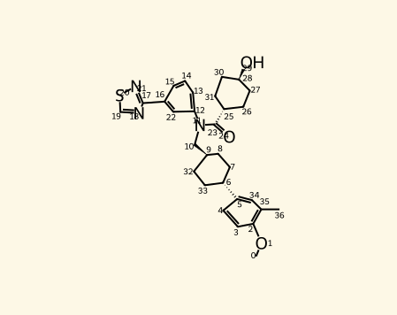 COc1ccc([C@H]2CC[C@H](CN(c3cccc(-c4ncsn4)c3)C(=O)[C@H]3CC[C@H](O)CC3)CC2)cc1C